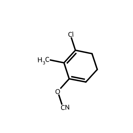 CC1=C(Cl)CCC=C1OC#N